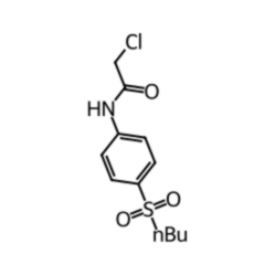 CCCCS(=O)(=O)c1ccc(NC(=O)CCl)cc1